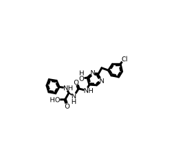 O=C(Nc1cnc(Cc2cccc(Cl)c2)nc1O)N[C@H](Nc1ccccc1)C(=O)O